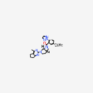 COc1ccc(-n2nccn2)c(C(=O)N2C[C@H]3CCN(c4nc(C)c5c(n4)CCC5)C[C@H]32)c1